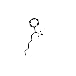 CCCCCCCCCCCCCCCC(c1ccccc1)P(=O)(O)O